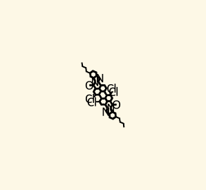 CCCCc1ccc2nc3c4cc(Cl)c5c6c(Cl)cc7c(=O)n8c9cc(CCCC)ccc9nc8c8cc(Cl)c(c9c(Cl)cc(c(=O)n3c2c1)c4c95)c6c78